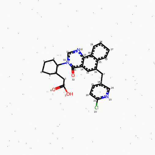 O=C(O)CC1CCCCC1n1cnc2c(cc(Cc3ccc(Cl)nc3)c3ccccc32)c1=O